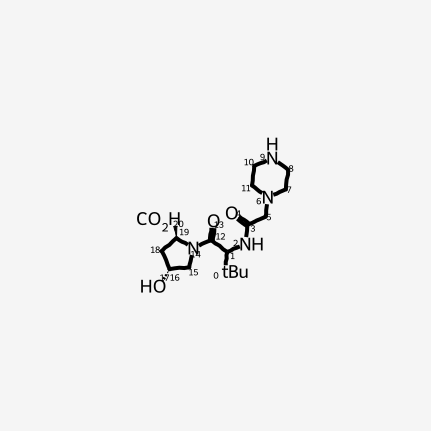 CC(C)(C)C(NC(=O)CN1CCNCC1)C(=O)N1C[C@H](O)C[C@H]1C(=O)O